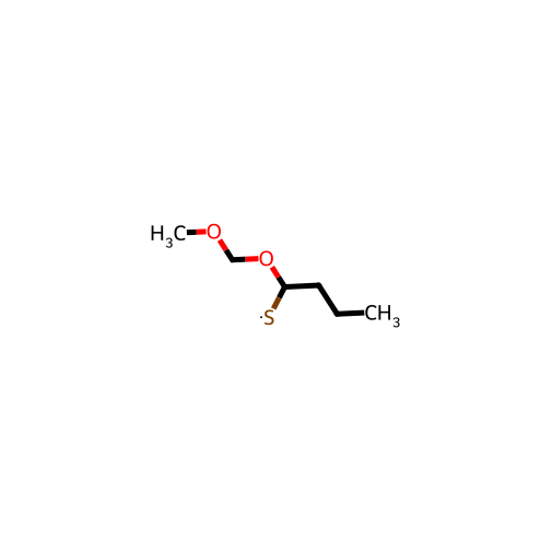 CCCC([S])OCOC